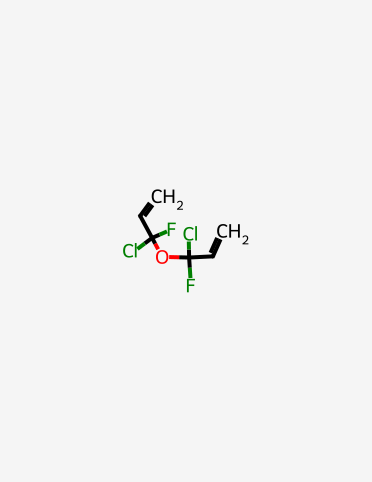 C=CC(F)(Cl)OC(F)(Cl)C=C